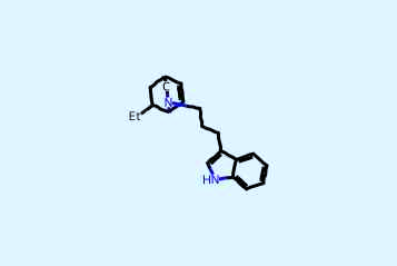 CCC1CC2C=CC1N(CCCc1c[nH]c3ccccc13)C2